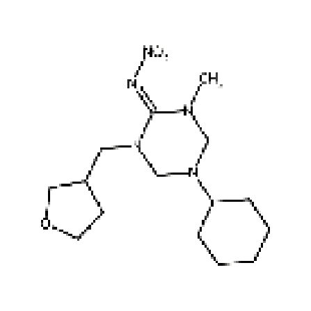 CN1CN(C2CCCCC2)CN(CC2CCOC2)C1=N[N+](=O)[O-]